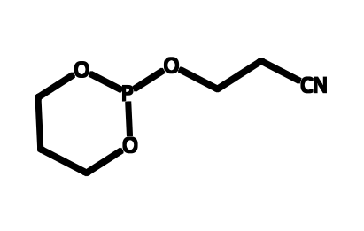 N#CCCOP1OCCCO1